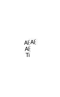 [Al].[Al].[Al].[Ti]